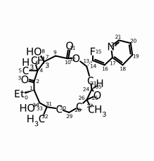 CC[C@H]1C(=O)C(C)(C)[C@@H](O)CC(=O)O[C@H](C(F)=Cc2ccccn2)C[C@@H]2OC2(C)CCCC(C)[C@@H]1O